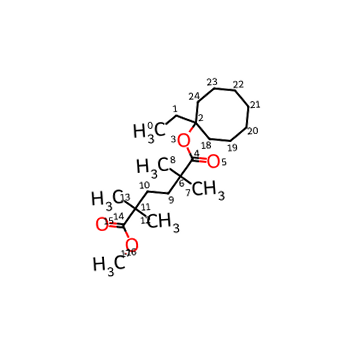 CCC1(OC(=O)C(C)(C)CCC(C)(C)C(=O)OC)CCCCCCC1